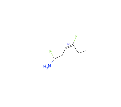 CC/C(F)=C\CC(N)F